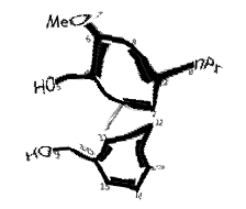 CCCc1ccc(O)c(OC)c1.Oc1ccccc1